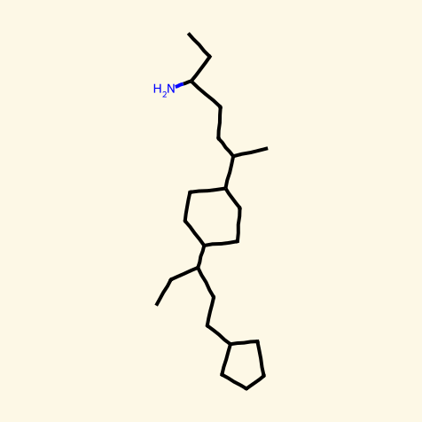 CCC(N)CCC(C)C1CCC(C(CC)CCC2CCCC2)CC1